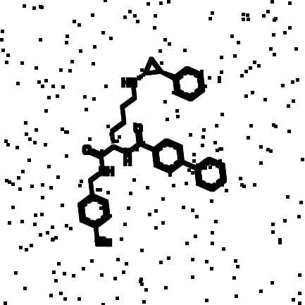 CC(C)(C)c1ccc(CNC(=O)[C@H](CCCCN[C@@H]2C[C@H]2c2ccccc2)NC(=O)c2ccc(-c3ccccc3)cc2)cc1